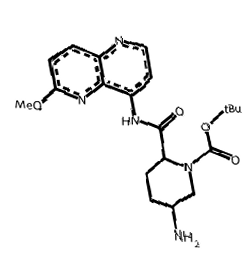 COc1ccc2nccc(NC(=O)C3CCC(N)CN3C(=O)OC(C)(C)C)c2n1